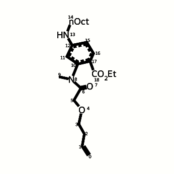 C=CCCOCC(=O)N(C)c1cc(NCCCCCCCC)ccc1C(=O)OCC